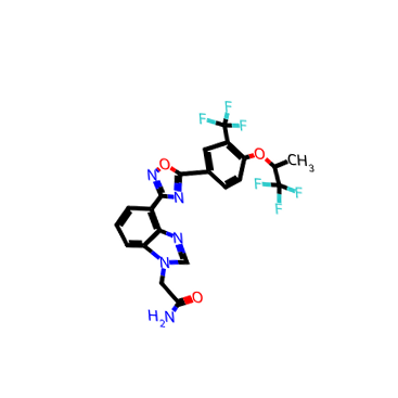 CC(Oc1ccc(-c2nc(-c3cccc4c3ncn4CC(N)=O)no2)cc1C(F)(F)F)C(F)(F)F